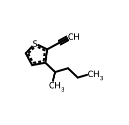 C#Cc1sccc1C(C)CCC